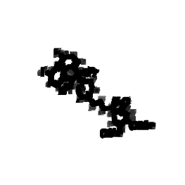 CCCC(c1ccc(F)cc1)C(CCC)(c1ccc(F)cc1)N1CCN(CCCc2noc3cc(OC)c(OC)cc23)CC1